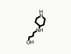 OCCCNC1CCNCC1